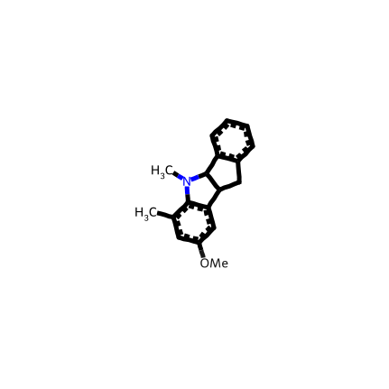 COc1cc(C)c2c(c1)C1Cc3ccccc3C1N2C